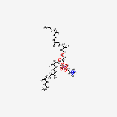 CC(C)CCCC(C)CCCC(C)CCCC(C)CCOCC(COP(=O)([O-])OCC[N+](C)(C)C)OCCC(C)CCCC(C)CCCC(C)CCCC(C)C